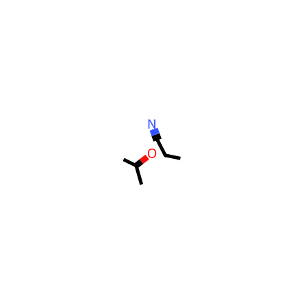 CC(C)=O.CCC#N